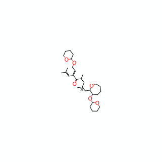 CC(C)=CC(=CCOC1CCCCO1)C(=O)C(C)C[C@H](C)CC1OCCCCC1OC1CCCCO1